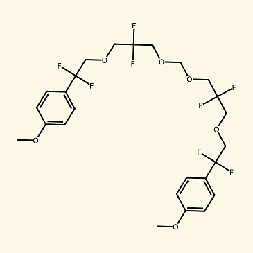 COc1ccc(C(F)(F)COCC(F)(F)COCOCC(F)(F)COCC(F)(F)c2ccc(OC)cc2)cc1